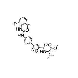 COC(=O)C(NC(=O)c1cc(-c2ccc(NC(=O)Nc3c(F)cccc3F)cc2)no1)C(C)C